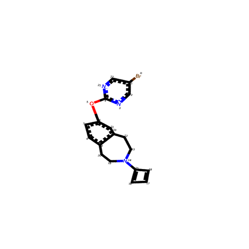 Brc1cnc(Oc2ccc3c(c2)CCN(C2=CC=C2)CC3)nc1